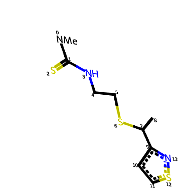 CNC(=S)NCCSC(C)c1ccsn1